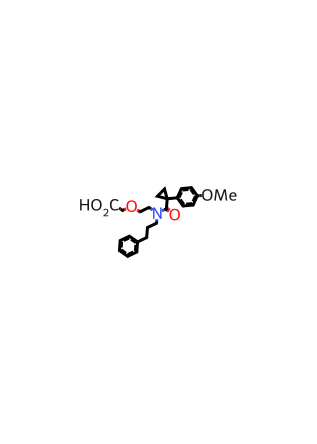 COc1ccc(C2(C(=O)N(CCCc3ccccc3)CCOCC(=O)O)CC2)cc1